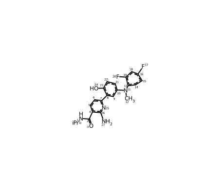 CC(C)NC(=O)c1ccc(-c2cc(N(C)c3ccc(F)cc3F)ccc2O)nc1N